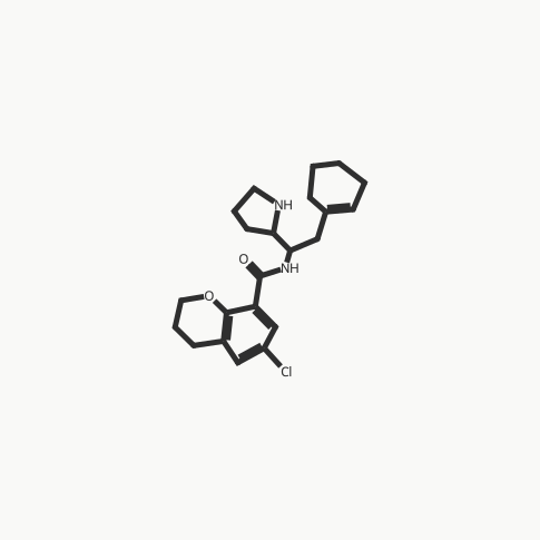 O=C(NC(CC1=CCCCC1)C1CCCN1)c1cc(Cl)cc2c1OCCC2